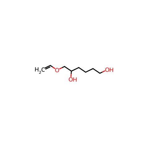 C=COCC(O)CCCCO